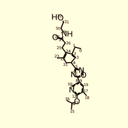 CCC1=CC(c2noc(-c3cnc(OC(C)C)c(C)c3)n2)CC(C)=C1CCC(=O)NCCO